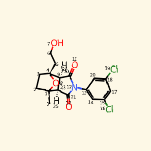 CC12CC[C@@](CCO)(O1)[C@H]1C(=O)N(c3cc(Cl)cc(Cl)c3)C(=O)[C@H]12